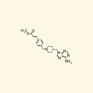 COC(=O)/C=C/c1ccc(CN2CCC(Cn3cnc4c(N)ncnc43)CC2)cc1